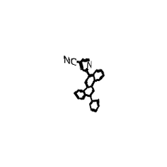 N#Cc1ccnc(-c2cc3c4ccccc4c(-c4ccccc4)cc3c3ccccc23)c1